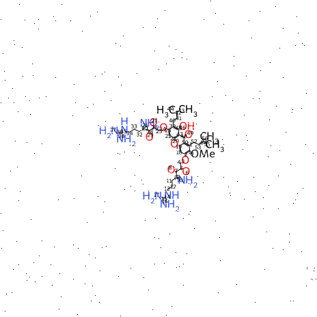 COc1c(OCC(=O)C(=O)[C@@H](N)CCCNC(N)N)cc2oc3cc(OCC(=O)C(=O)[C@@H](N)CCCNC(N)N)c(CC=C(C)C)c(O)c3c(=O)c2c1CC=C(C)C